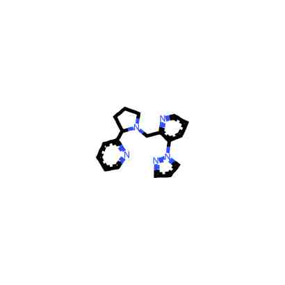 c1ccc(C2CCCN2Cc2ncccc2-n2cccn2)nc1